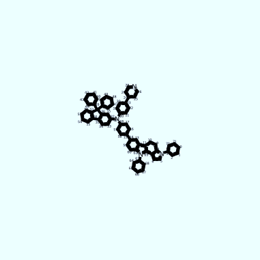 c1ccc(-n2ccc3c2ccc2c4cc(-c5ccc(N(c6ccc(-c7ccncc7)cc6)c6ccc7c(c6)C(c6ccccc6)(c6ccccc6)c6ccccc6-7)cc5)ccc4n(-c4ccccc4)c23)cc1